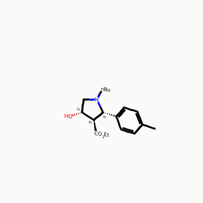 CCCCN1C[C@@H](O)[C@H](C(=O)OCC)[C@H]1c1ccc(C)cc1